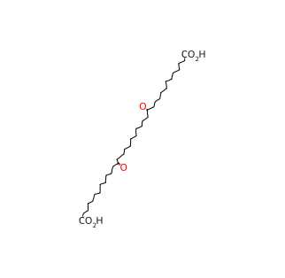 O=C(O)CCCCCCCCCCCC(=O)CCCCCCCCCCC(=O)CCCCCCCCCCCC(=O)O